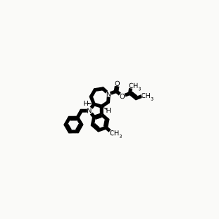 C/C=C(\C)OC(=O)N1CCC[C@H]2[C@@H](C1)c1cc(C)ccc1N2Cc1ccccc1